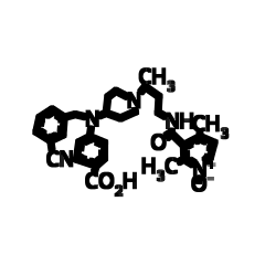 Cc1cc[n+]([O-])c(C)c1C(=O)NCCC(C)N1CCC(N(Cc2cccc(C#N)c2)c2ccc(C(=O)O)cc2)CC1